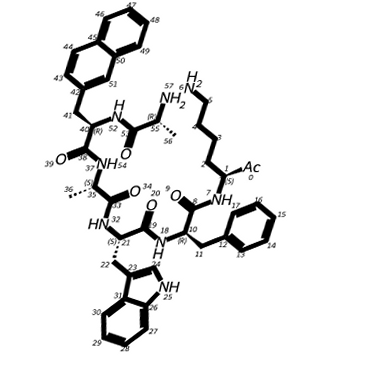 CC(=O)[C@H](CCCCN)NC(=O)[C@@H](Cc1ccccc1)NC(=O)[C@H](Cc1c[nH]c2ccccc12)NC(=O)[C@H](C)NC(=O)[C@@H](Cc1ccc2ccccc2c1)NC(=O)[C@@H](C)N